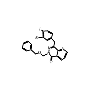 O=c1c2cccnc2c(Cc2ccc(F)c(Br)c2)nn1COCc1ccccc1